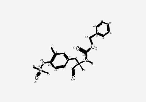 Cc1cc(C[C@@](C)(C=O)N(C)C(=O)OCc2ccccc2)ccc1OP(C)(C)=O